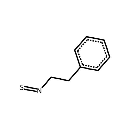 S=NCCc1ccccc1